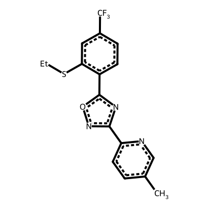 CCSc1cc(C(F)(F)F)ccc1-c1nc(-c2ccc(C)cn2)no1